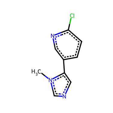 Cn1cncc1-c1ccc(Cl)nc1